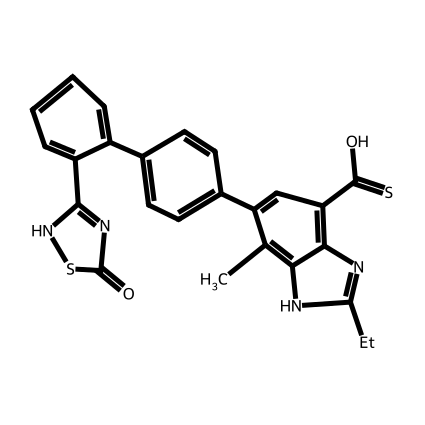 CCc1nc2c(C(O)=S)cc(-c3ccc(-c4ccccc4-c4nc(=O)s[nH]4)cc3)c(C)c2[nH]1